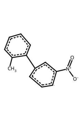 Cc1ccccc1-c1cc[c]c([N+](=O)[O-])c1